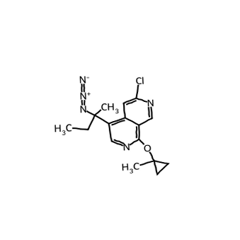 CCC(C)(N=[N+]=[N-])c1cnc(OC2(C)CC2)c2cnc(Cl)cc12